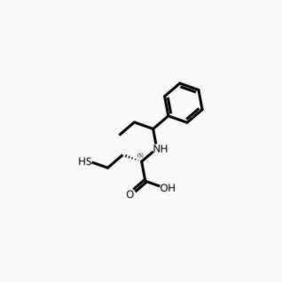 CCC(N[C@@H](CCS)C(=O)O)c1ccccc1